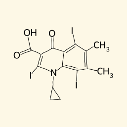 Cc1c(C)c(I)c2c(c1I)c(=O)c(C(=O)O)c(I)n2C1CC1